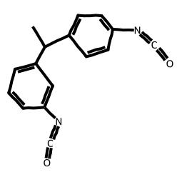 CC(c1ccc(N=C=O)cc1)c1cccc(N=C=O)c1